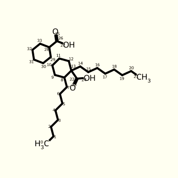 CCCCCCCCC1CCCCC1(CCCCCCCC)C(=O)O.O=C(O)C1CCCCC1